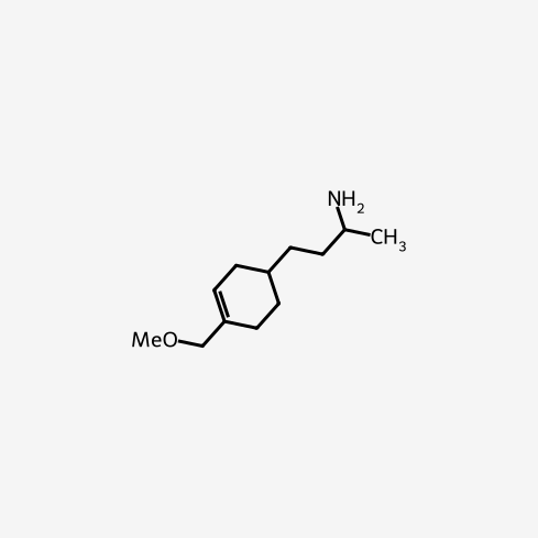 COCC1=CCC(CCC(C)N)CC1